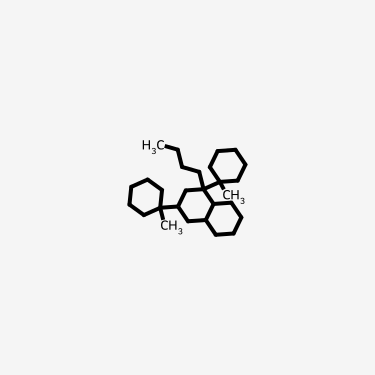 CCCCC1(C2(C)CCCCC2)CC(C2(C)CCCCC2)CC2CCCCC21